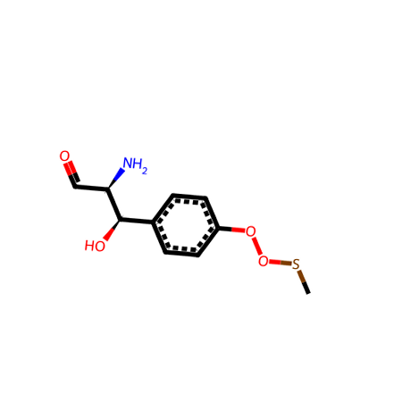 CSOOc1ccc([C@@H](O)[C@H](N)C=O)cc1